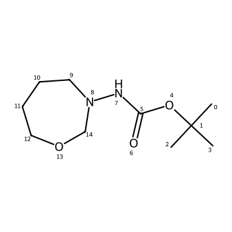 CC(C)(C)OC(=O)NN1CCCCOC1